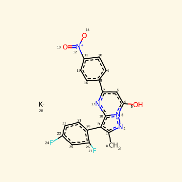 Cc1nn2c(O)cc(-c3ccc([N+](=O)[O-])cc3)nc2c1-c1ccc(F)cc1F.[K]